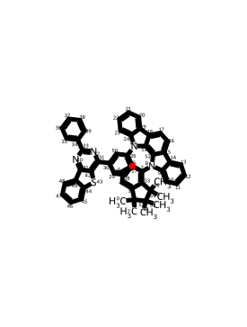 CC1(C)c2cccc(-n3c4ccccc4c4ccc5c6ccccc6n(-c6cccc(-c7nc(-c8ccccc8)nc8c7sc7ccccc78)c6)c5c43)c2C(C)(C)C1(C)C